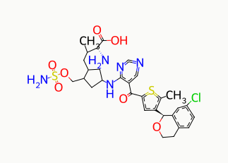 Cc1sc(C(=O)c2cncnc2NC2CC(COS(N)(=O)=O)C(CC(C)[C@@H](N)C(=O)O)C2)cc1[C@@H]1OCCc2ccc(Cl)cc21